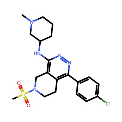 CN1CCCC(Nc2nnc(-c3ccc(Cl)cc3)c3c2CN(S(C)(=O)=O)CC3)C1